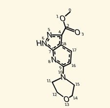 COC(=O)c1n[nH]c2nc(N3CCOCC3)ccc12